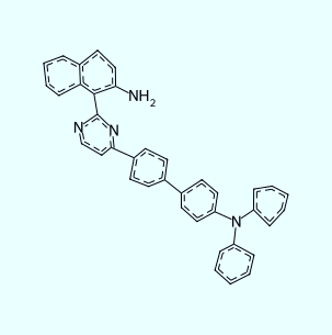 Nc1ccc2ccccc2c1-c1nccc(-c2ccc(-c3ccc(N(c4ccccc4)c4ccccc4)cc3)cc2)n1